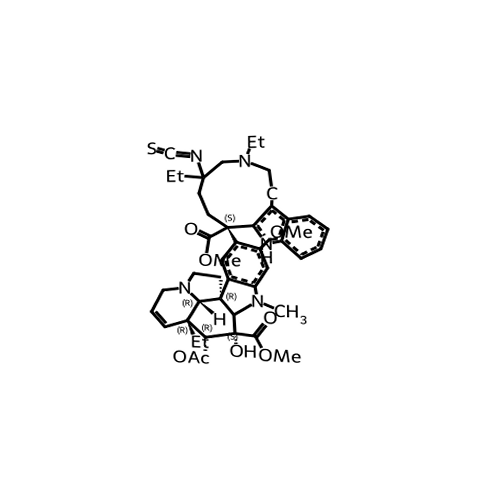 CCN1CCc2c([nH]c3ccccc23)[C@@](C(=O)OC)(c2cc3c(cc2OC)N(C)C2[C@]34CCN3CC=C[C@@](CC)([C@@H](OC(C)=O)[C@]2(O)C(=O)OC)[C@H]34)CCC(CC)(N=C=S)C1